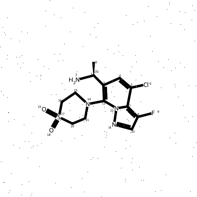 C[C@H](N)c1cc(Cl)c2c(F)cnn2c1N1CCS(=O)(=O)CC1